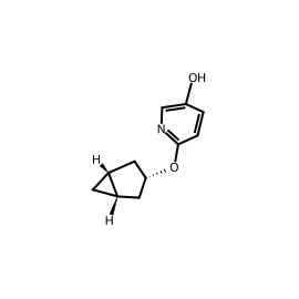 Oc1ccc(O[C@@H]2C[C@@H]3C[C@@H]3C2)nc1